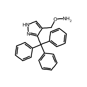 NOCc1c[nH]nc1C(c1ccccc1)(c1ccccc1)c1ccccc1